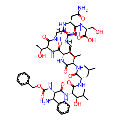 CC[C@H](C)[C@H](NC(=O)[C@@H](CCCNC(=N)N)NC(=O)[C@H](CC(C)C)NC(=O)[C@@H](NC(=O)[C@@H](NC(=O)OCc1ccccc1)[C@H](N)c1ccccc1)[C@H](O)C(C)C)C(=O)N[C@H](C(=O)NCC(=O)N[C@@H](CC(N)=O)C(=O)N[C@@H](CO)C(=O)O)[C@H](C)O